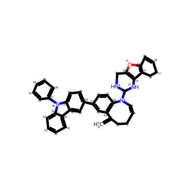 C=C1CC/C=C\N(C2NCc3oc4c(c3N2)CCC=C4)c2ccc(-c3ccc4c(c3)c3ccccc3n4-c3ccccc3)cc21